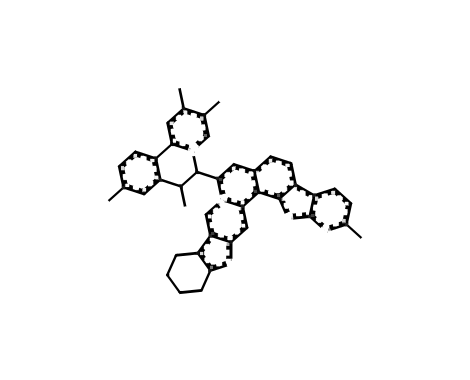 Cc1ccc2c(c1)C(C)C(c1cc3ccc4c5ccc(C)nc5oc4c3c3cc4sc5c(c4c[n+]13)CCCC5)[n+]1cc(C)c(C)cc1-2